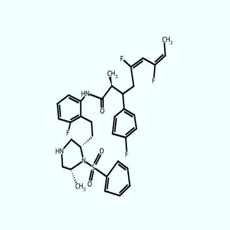 C/C=C(F)\C=C(\F)CC(c1ccc(F)cc1)[C@H](C)C(=O)Nc1cccc(F)c1CC[C@H]1CNC[C@@H](C)N1S(=O)(=O)c1ccccc1